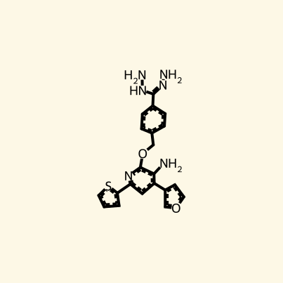 N/N=C(\NN)c1ccc(COc2nc(-c3cccs3)cc(-c3ccoc3)c2N)cc1